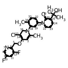 CC1=CC(OCc2ncc(F)cc2F)=C(Cl)CN1c1cc(-n2cccc(C(C)(C)O)c2=O)ccc1C